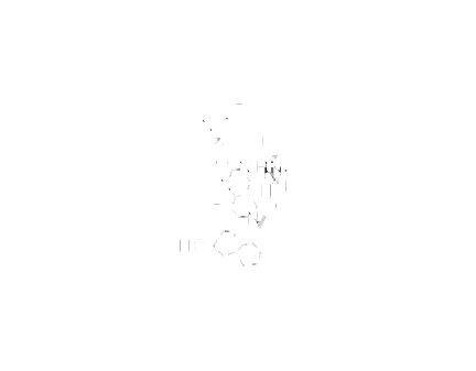 C#Cc1cccc2cc(O)cc(-c3nc4c5c(nc(OC[C@]67CCCN6C[C@H](F)C7)nc5c3F)N3C[C@H]5CC[C@H](N5)[C@@H]3CO4)c12